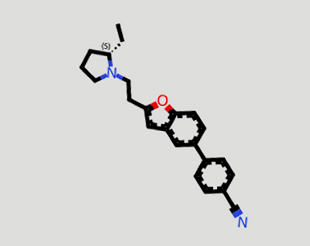 CC[C@H]1CCCN1CCc1cc2cc(-c3ccc(C#N)cc3)ccc2o1